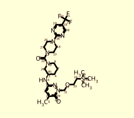 Cc1cc(N[C@@H]2CCCN(C(=O)N3CCN(c4ncc(C(F)(F)F)cn4)CC3)C2)nn(COCC[Si](C)(C)C)c1=O